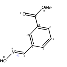 COC(=O)c1cccc(/C=N/O)c1